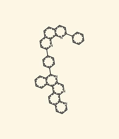 c1ccc(-c2ccc3ccc4ccc(-c5ccc(-c6nc7cnc8c(ccc9cccnc98)c7c7ccccc67)cc5)nc4c3n2)cc1